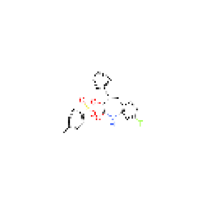 Cc1ccc(S(=O)(=O)OC2C(=O)Nc3cc(F)ccc3CC2c2ccccc2)cc1